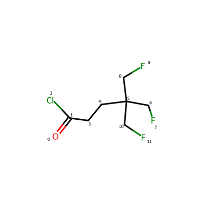 O=C(Cl)CCC(CF)(CF)CF